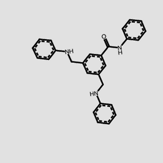 O=C(Nc1ccccc1)c1cc(CNc2ccccc2)cc(CNc2ccccc2)c1